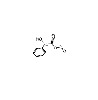 O=POC(=O)[C@@H](O)c1ccccc1